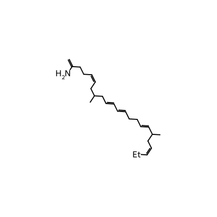 C=C(N)CC/C=C\CC(C)C/C=C/C=C/CC/C=C/C(C)C/C=C\CC